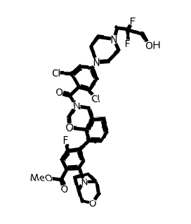 COC(=O)c1cc(F)c(-c2cccc3c2OCN(C(=O)c2c(Cl)cc(N4CCN(CC(F)(F)CO)CC4)cc2Cl)C3)cc1N1C2CCC1COC2